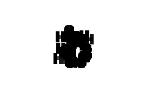 CC(C)(Cc1ccc(O)cc1)NCC(O)c1cc(O)cc2c1OCC(=O)N2.O=C1COc2ccccc2N1